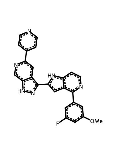 COc1cc(F)cc(-c2nccc3[nH]c(-c4n[nH]c5cnc(-c6ccncc6)cc45)cc23)c1